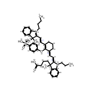 CCCC[N+]1=C(/C=C/C2=C(Oc3ccc(S(=O)(=O)O)cc3)C(=C/C=C3/N(CCC)c4ccccc4C3(C)CCCC(=O)O)/CCC2)C(C)(C)c2ccccc21